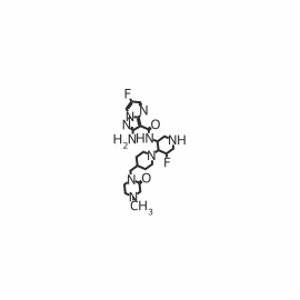 CN1CCN(CC2CCN(C3C(F)CNCC3NC(=O)c3c(N)nn4cc(F)cnc34)CC2)C(=O)C1